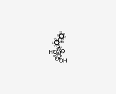 CC(O)N(CC(=O)O)C(=O)OCc1cccc2c1Cc1ccccc1-2